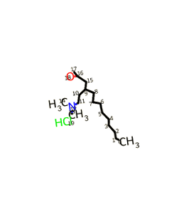 CCCCCCCCCC(CCN(C)C)CC1CO1.Cl